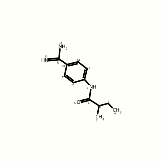 CCC(C)C(=O)Nc1ccc(C(=N)N)cc1